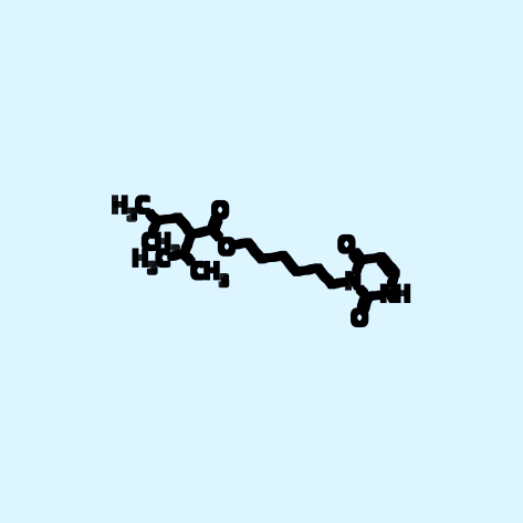 CC(C)CC(C(=O)OCCCCCCn1c(=O)cc[nH]c1=O)C(C)C